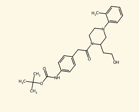 Cc1ccccc1N1CCN(C(=O)Cc2ccc(NC(=O)OC(C)(C)C)cc2)C(CCO)C1